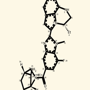 CC[C@H]1CNc2cccc3cc(-c4nc5cc(C(=O)N6C[C@H]7CC[C@@H]6[C@@H]7N)cc(F)c5n4C)n1c23